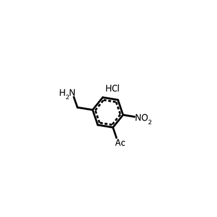 CC(=O)c1cc(CN)ccc1[N+](=O)[O-].Cl